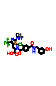 CNc1nc(C(F)(F)F)c(/C=C(\NC(=O)c2ccc(C(=O)NCc3cccc(O)c3)cc2Cl)C(=O)O)s1